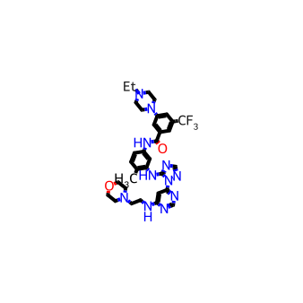 CCN1CCN(c2cc(C(=O)Nc3ccc(C)c(Nc4ncnn4-c4cc(NCCN5CCOCC5)ncn4)c3)cc(C(F)(F)F)c2)CC1